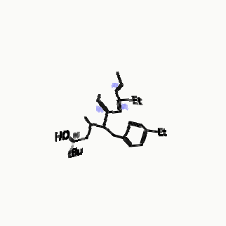 C\C=C(/C=C(\C=C\C)CC)C(Cc1ccc(CC)cc1)C(C)C[C@@H](O)C(C)(C)C